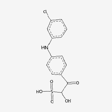 O=C(c1ccc(Nc2cccc(Cl)c2)cc1)C(O)S(=O)(=O)O